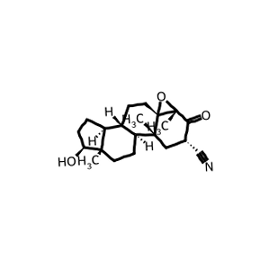 C[C@]12CC[C@H]3[C@@H](CC[C@@]45O[C@]4(C)C(=O)[C@H](C#N)C[C@]35C)[C@@H]1CC[C@@H]2O